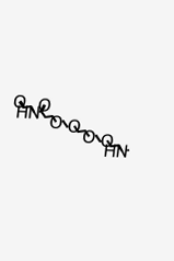 CNCCOCCOCCOCCOCCC(=O)NCC=O